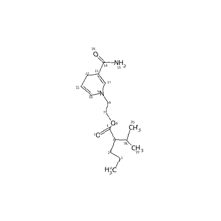 CCCC(C(=O)OCCN1C=CCC(C(N)=O)=C1)C(C)C